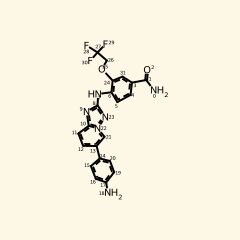 NC(=O)c1ccc(Nc2nc3ccc(-c4ccc(N)cc4)cn3n2)c(OCC(F)(F)F)c1